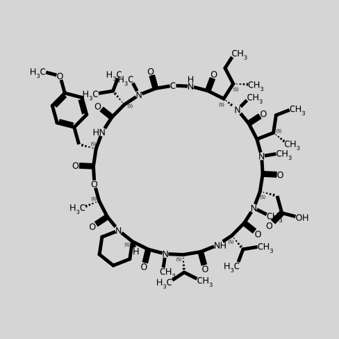 CC[C@H](C)C1C(=O)N(C)[C@@H]([C@@H](C)CC)C(=O)NCC(=O)N(C)[C@@H](C(C)C)C(=O)N[C@@H](Cc2ccc(OC)cc2)C(=O)O[C@@H](C)C(=O)N2CCCC[C@H]2C(=O)N(C)[C@@H](C(C)C)C(=O)N[C@@H](C(C)C)C(=O)N(C)[C@@H](CC(=O)O)C(=O)N1C